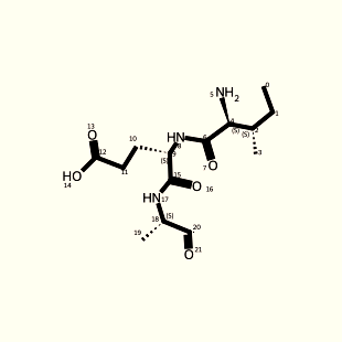 CC[C@H](C)[C@H](N)C(=O)N[C@@H](CCC(=O)O)C(=O)N[C@@H](C)[C]=O